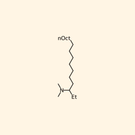 CCCCCCCCCCCCCCCC(CC)N(C)C